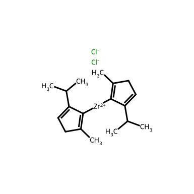 CC1=[C]([Zr+2][C]2=C(C)CC=C2C(C)C)C(C(C)C)=CC1.[Cl-].[Cl-]